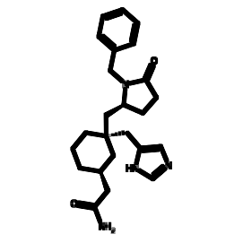 NC(=O)C[C@H]1CCC[C@@](Cc2cnc[nH]2)(C[C@@H]2CCC(=O)N2Cc2ccccc2)C1